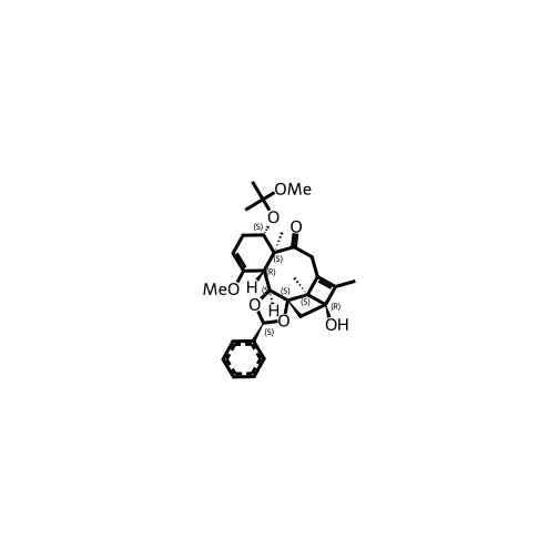 COC1=CC[C@H](OC(C)(C)OC)[C@@]2(C)C(=O)CC3=C(C)[C@]4(O)C[C@]5(O[C@@H](c6ccccc6)O[C@H]5[C@H]12)[C@@]34C